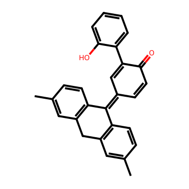 Cc1ccc2c(c1)Cc1cc(C)ccc1C2=C1C=CC(=O)C(c2ccccc2O)=C1